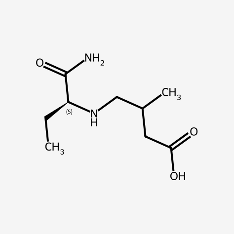 CC[C@H](NCC(C)CC(=O)O)C(N)=O